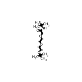 CC(C)(C)NC(=O)COCCOCCOC(C)(C)C